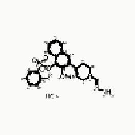 COc1c(C2CCN(C=NN)CC2)cc2ccccc2c1OS(=O)(=O)c1ccccc1Cl.Cl